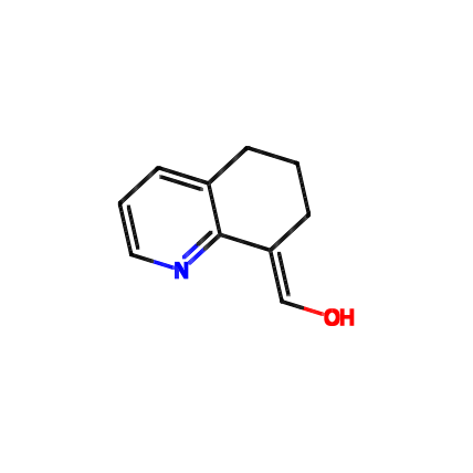 OC=C1CCCc2cccnc21